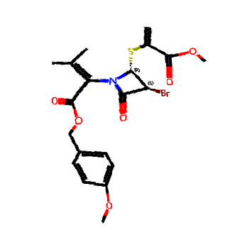 C=C(S[C@@H]1[C@@H](Br)C(=O)N1C(C(=O)OCc1ccc(OC)cc1)=C(C)C)C(=O)OC